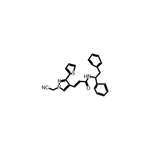 N#CCn1cc(C=CC(=O)NC(Cc2ccccc2)c2ccccc2)c(-c2cccs2)n1